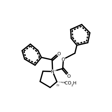 O=C(O)[C@@H]1CCC[N+]1(C(=O)OCc1ccccc1)C(=O)c1ccccc1